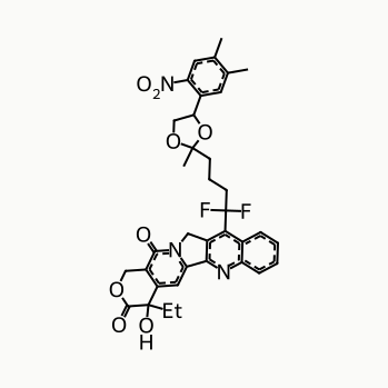 CCC1(O)C(=O)OCc2c1cc1n(c2=O)Cc2c-1nc1ccccc1c2C(F)(F)CCCC1(C)OCC(c2cc(C)c(C)cc2[N+](=O)[O-])O1